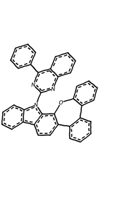 c1ccc(-c2nc(-n3c4ccccc4c4ccc5c(c43)Oc3ccccc3-c3ccccc3-5)nc3ccccc23)cc1